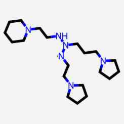 C1CCN(CCNN(CCCN2CCCC2)[N]CCN2CCCC2)CC1